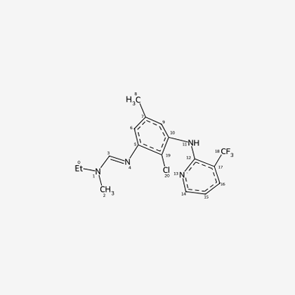 CCN(C)C=Nc1cc(C)cc(Nc2ncccc2C(F)(F)F)c1Cl